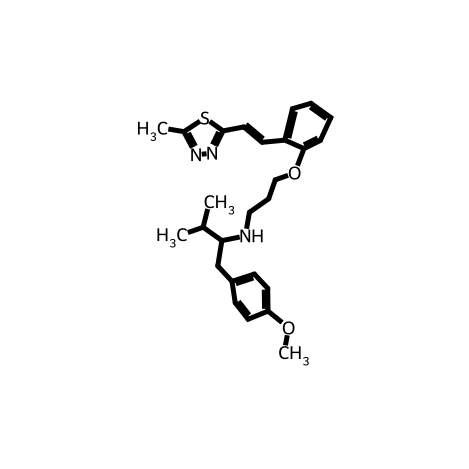 COc1ccc(CC(NCCCOc2ccccc2C=Cc2nnc(C)s2)C(C)C)cc1